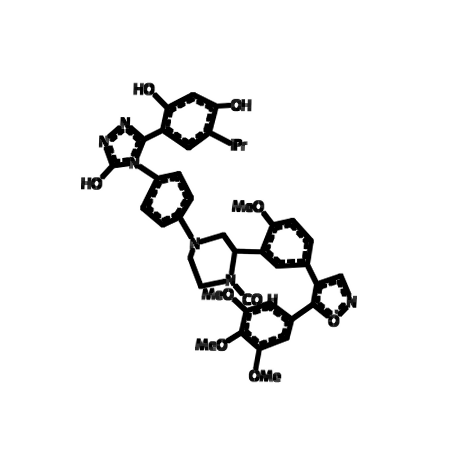 COc1ccc(-c2cnoc2-c2cc(OC)c(OC)c(OC)c2)cc1C1CN(c2ccc(-n3c(O)nnc3-c3cc(C(C)C)c(O)cc3O)cc2)CCN1C(=O)O